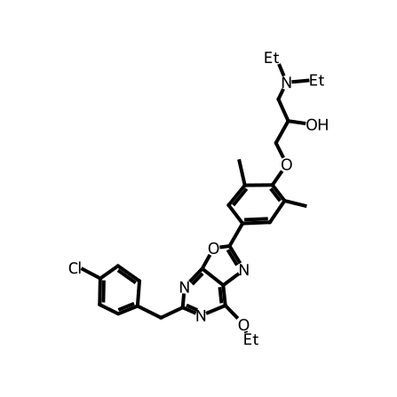 CCOc1nc(Cc2ccc(Cl)cc2)nc2oc(-c3cc(C)c(OCC(O)CN(CC)CC)c(C)c3)nc12